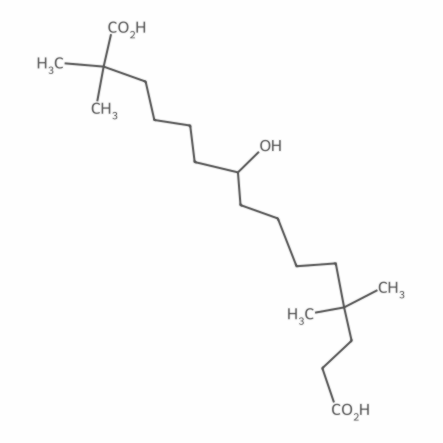 CC(C)(CCCCC(O)CCCCC(C)(C)C(=O)O)CCC(=O)O